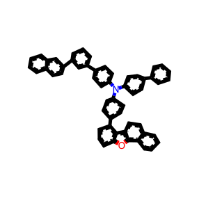 c1ccc(-c2ccc(N(c3ccc(-c4cccc(-c5ccc6ccccc6c5)c4)cc3)c3ccc(-c4cccc5oc6c7ccccc7ccc6c45)cc3)cc2)cc1